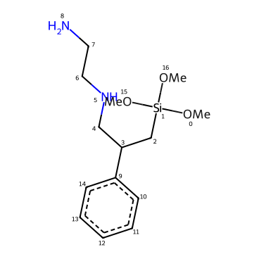 CO[Si](CC(CNCCN)c1ccccc1)(OC)OC